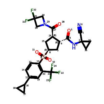 N#CC1(NC(=O)[C@@H]2C[C@@H](S(=O)(=O)c3ccc(C4CC4)cc3C(F)(F)F)C[C@H]2C(=O)N2CC(F)(F)C2)CC1